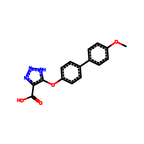 COc1ccc(-c2ccc(Oc3[nH]nnc3C(=O)O)cc2)cc1